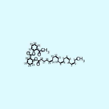 CC/C=C\C/C=C\C/C=C\C/C=C\C/C=C\CCCC(=O)Oc1ccccc1C(=O)Oc1ccccc1C(C)=O